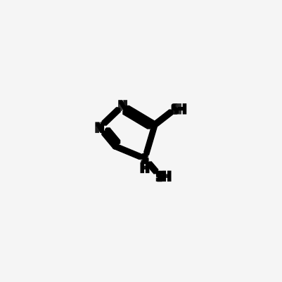 SC1=NN=C[SH]1S